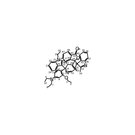 CCOc1cc(N(CC)CC)ccc1C1(c2c(C)n(CC)c3ccccc23)CC(C2(C3(CC)C(C)=Nc4ccccc43)OC(=O)c3ccccc32)=CC=N1